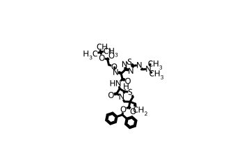 C=CC1(C(=O)OC(c2ccccc2)c2ccccc2)CS[C@@H]2C(NC(=O)C(=NOCC(=O)OC(C)(C)C)c3nsc(N=CN(C)C)n3)C(=O)N2C1